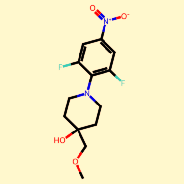 COCC1(O)CCN(c2c(F)cc([N+](=O)[O-])cc2F)CC1